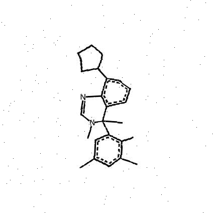 Cc1cc(C)c(C)c(C2(C)c3cccc(C4CCCC4)c3N=CN2C)c1